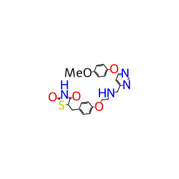 COc1ccc(Oc2cc(CNCCOc3ccc(CC4SC(=O)NC4=O)cc3)ncn2)cc1